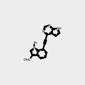 CC(C)n1cc(C=O)c2cccc(C#Cc3ncnc4[nH]ccc34)c21